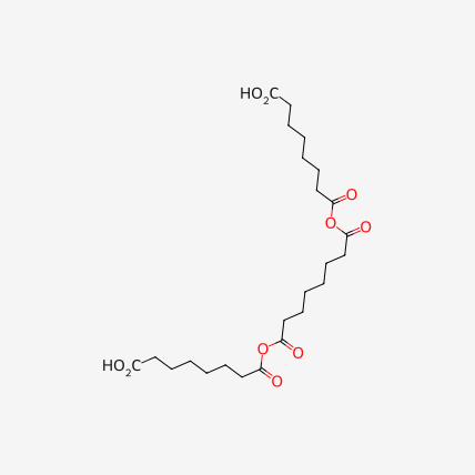 O=C(O)CCCCCCC(=O)OC(=O)CCCCCCC(=O)OC(=O)CCCCCCC(=O)O